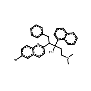 CN(C)CC[C@@](O)(c1cccc2ccccc12)C(Cc1ccccc1)c1ccc2cc(Br)ccc2n1